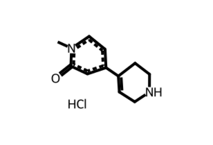 Cl.Cn1ccc(C2=CCNCC2)cc1=O